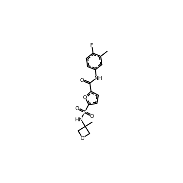 Cc1cc(NC(=O)c2ccc(S(=O)(=O)NC3(C)COC3)o2)ccc1F